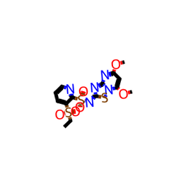 CCS(=O)(=O)c1cccnc1S(=O)(=O)N=c1nc2nc(OC)cc(OC)n2s1